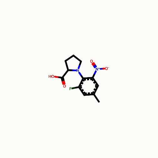 Cc1cc(F)c(N2CCCC2C(=O)O)c([N+](=O)[O-])c1